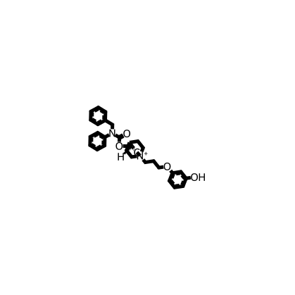 O=C(O[C@H]1C[N+]2(CCCOc3cccc(O)c3)CCC1CC2)N(Cc1ccccc1)c1ccccc1